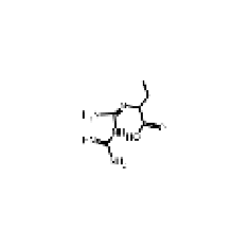 CCC(N=C(N)NC(=N)N)C(=O)O